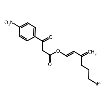 C=C(C=COC(=O)CC(=O)c1ccc([N+](=O)[O-])cc1)CCCC(C)C